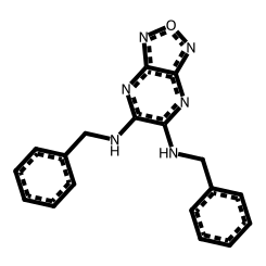 c1ccc(CNc2nc3nonc3nc2NCc2ccccc2)cc1